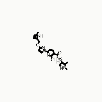 Cc1c(SNC(=O)c2ccc(-n3ccc(OCC45CC(C4)[C@H]5C)n3)nc2Cl)cnn1C